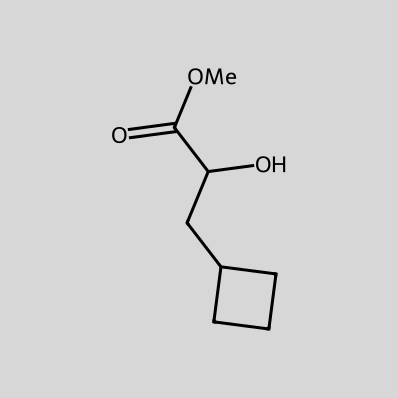 COC(=O)C(O)CC1CCC1